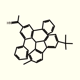 CC(=N)c1cc(-c2ccccc2)c(C2c3ccc(C(C)(C)C)cc3-c3ccc(C)cc32)c(-c2ccccc2)c1